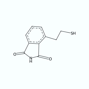 O=C1NC(=O)c2c(CCS)cccc21